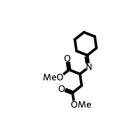 COC(=O)CC(N=C1CCCCC1)C(=O)OC